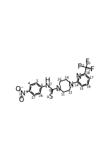 O=[N+]([O-])c1ccc(NC(=S)N2CCN(c3cccc(C(F)(F)F)n3)CC2)cc1